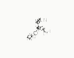 CCNc1cc2c(cn1)c(-c1cnn(C(C)(C)C#N)c1)nn2[C@H]1CC[C@@H](Oc2nccnc2C)CC1